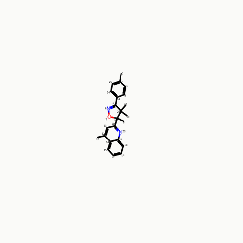 Cc1ccc(C2=NOC(C)(c3cc(C)c4ccccc4n3)C2(C)C)cc1